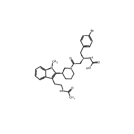 CC(=O)NCCc1c(C2CCCN(C(=O)C[C@@H](Cc3ccc(Br)cc3)NC(=O)O)C2)n(C)c2ccccc12